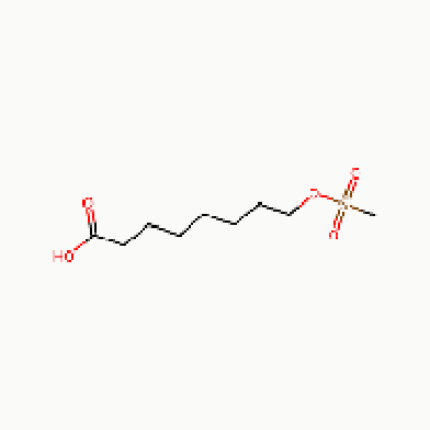 CS(=O)(=O)OCCCCCCCC(=O)O